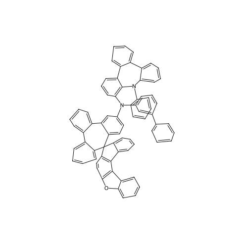 c1ccc(-c2cccc(N(c3ccc4c(c3)-c3ccccc3-c3ccccc3C43c4ccccc4-c4c3ccc3oc5ccccc5c43)c3cccc4c3N(c3ccccc3)c3ccccc3-c3ccccc3-4)c2)cc1